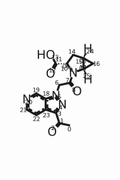 CC(=O)c1nn(CC(=O)N2[C@H](C(=O)O)C[C@@H]3C[C@@H]32)c2cnccc12